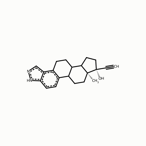 C#C[C@]1(O)CCC2C3CCc4c(ccc5[nH]ncc45)C3CC[C@@]21C